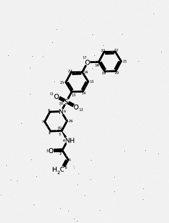 C=CC(=O)N[C@H]1CCCN(S(=O)(=O)c2ccc(Oc3ccccc3)cc2)C1